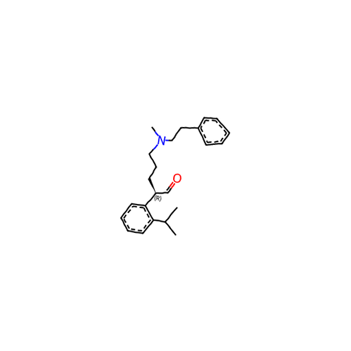 CC(C)c1ccccc1[C@H](C=O)CCCN(C)CCc1ccccc1